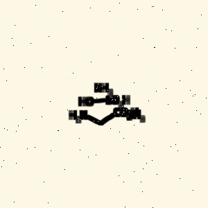 N.N.NCC(=O)O.O=S(=O)(O)O